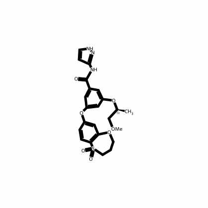 COC[C@H](C)Oc1cc(Oc2ccc3c(c2)OCCCS3(=O)=O)cc(C(=O)Nc2cc[nH]n2)c1